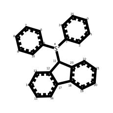 c1ccc([S+](c2ccccc2)C2c3ccccc3-c3ccccc32)cc1